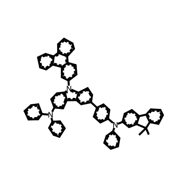 CC1(C)c2ccccc2-c2ccc(N(c3ccccc3)c3ccc(-c4ccc5c(c4)c4cc(N(c6ccccc6)c6ccccc6)ccc4n5-c4ccc5c6ccccc6c6ccccc6c5c4)cc3)cc21